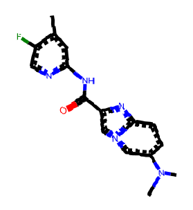 Cc1cc(NC(=O)c2cn3cc(N(C)C)ccc3n2)ncc1F